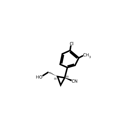 Cc1cc([C@]2(C#N)C[C@@H]2CO)ccc1Cl